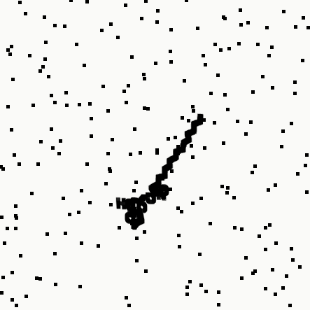 CCCCCCCCCCCCCCCc1cc(OCC(CO)Oc2cc(C)on2)no1